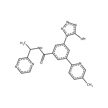 CCCc1nnnn1-c1cc(C(=O)NC(C)c2cnccn2)cc(-c2ccc(C)cn2)c1